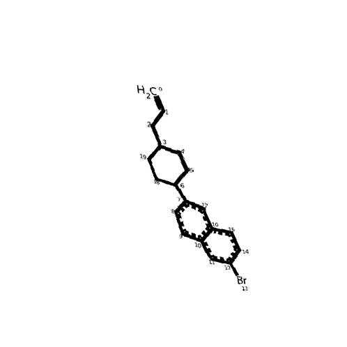 C=CCC1CCC(c2ccc3cc(Br)ccc3c2)CC1